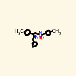 Cc1ccc(C(=O)/N=C2/CC(c3ccc(C)cc3)=C(Cc3ccccc3)N2)cc1